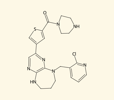 O=C(c1cc(-c2cnc3c(n2)N(Cc2cccnc2Cl)CCCN3)cs1)N1CCNCC1